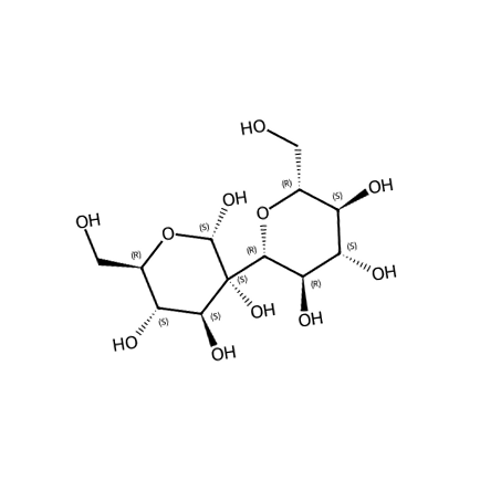 OC[C@H]1O[C@H](O)[C@@](O)([C@@H]2O[C@H](CO)[C@@H](O)[C@H](O)[C@H]2O)[C@@H](O)[C@@H]1O